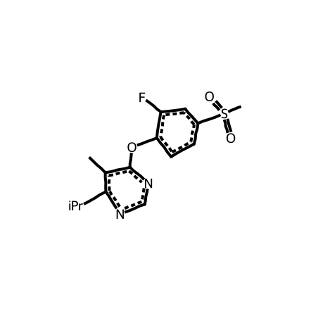 Cc1c(Oc2ccc(S(C)(=O)=O)cc2F)ncnc1C(C)C